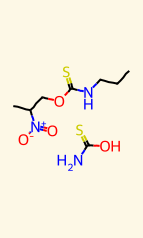 CCCNC(=S)OCC(C)[N+](=O)[O-].NC(O)=S